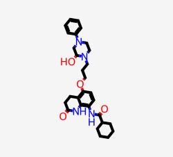 O=C1CCc2c(OCCCN3CCN(c4ccccc4)CC3O)ccc(NC(=O)C3CCCCC3)c2N1